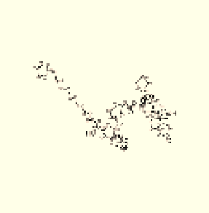 C[C@]12C=CC(=O)C=C1CC[C@@H]1[C@@H]2[C@@H](O)C[C@@]2(C)[C@H]1C[C@H]1O[C@@H](C3CCCCC3)O[C@]12C(=O)COC(=O)Cc1ccc[n+](Cc2cc(C(O)CNCCCCCCOCCCCc3ccccc3)ccc2OP(=O)(O)O)c1